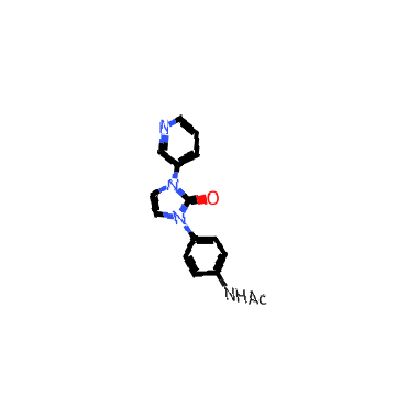 CC(=O)Nc1ccc(-n2ccn(-c3cccnc3)c2=O)cc1